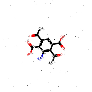 CC(=O)c1cc(C(=O)O)c(C(C)=O)c(N)c1C(=O)O